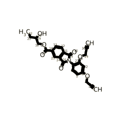 C#CCOc1ccc(N2C(=O)c3ccc(C(=O)OCC(O)CC)cc3C2=O)c(OCC#C)c1